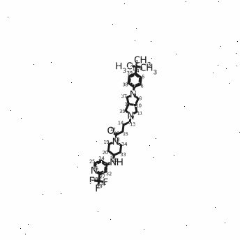 CC(C)(C)c1ccc(N2CC3CN(CCCC(=O)N4CCC(Nc5ccnc(C(F)(F)F)c5)CC4)CC3C2)cc1